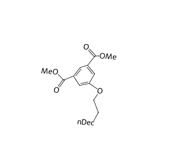 CCCCCCCCCCCCOc1cc(C(=O)OC)cc(C(=O)OC)c1